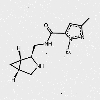 CCn1nc(C)cc1C(=O)NC[C@H]1NC[C@@H]2C[C@@H]21